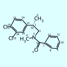 C[C@H](CN(C)C(=O)c1ccccc1)c1ccc(Cl)c(Cl)c1